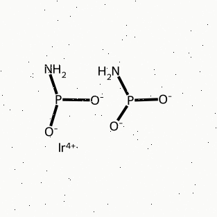 NP([O-])[O-].NP([O-])[O-].[Ir+4]